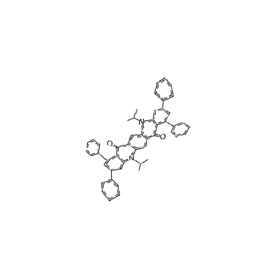 CC(C)n1c2cc3c(=O)c4c(-c5ccccc5)cc(-c5ccccc5)cc4n(C(C)C)c3cc2c(=O)c2c(-c3ccccc3)cc(-c3ccccc3)cc21